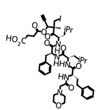 C#CC(OC(=O)CCC(=O)O)[C@](C)(CI)C(=O)[C@H](CC(C)C)NC(=O)[C@H](Cc1ccccc1)NC(=O)[C@H](CC(C)C)NC(=O)[C@H](CCc1ccccc1)NC(=O)CN1CCOCC1